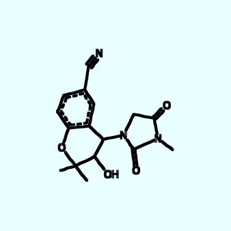 CN1C(=O)CN(C2c3cc(C#N)ccc3OC(C)(C)C2O)C1=O